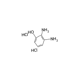 Cl.Cl.Nc1cccc(O)c1N